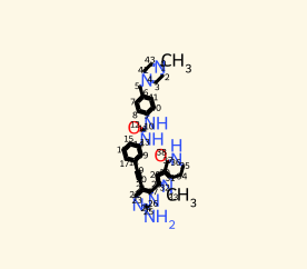 CN1CCN(Cc2ccc(NC(=O)Nc3cccc(C#Cc4cnc(N)nc4-c4cc5c(n4C)CCNC5=O)c3)cc2)CC1